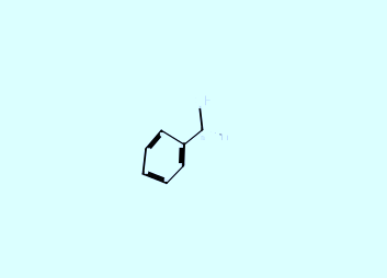 CCC[C@H](c1ccccc1)C(F)(F)F